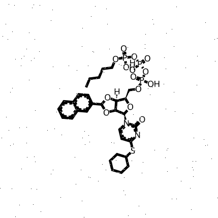 CCCCCOP(=O)(O)OP(=O)(O)OP(=O)(O)OC[C@H]1O[C@@H](n2ccc(SC3CCCCC3)nc2=O)C2OC(c3ccc4ccccc4c3)O[C@H]21